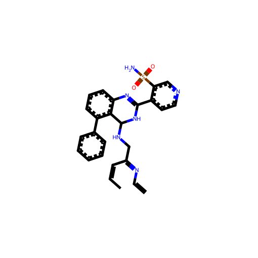 C=C/N=C(\C=C/C)CNC1NC(c2ccncc2S(N)(=O)=O)=Nc2cccc(-c3ccccc3)c21